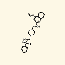 Nc1nc(NCC2CCC(CNS(=O)(=O)c3ccccc3)CC2)nc2ccccc12